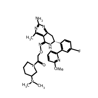 COc1cccc(-c2cc(F)ccc2[C@H]2Cc3nc(N)nc(C)c3/C(=N/OCC(=O)N3CCCC(N(C)C)C3)N2)n1